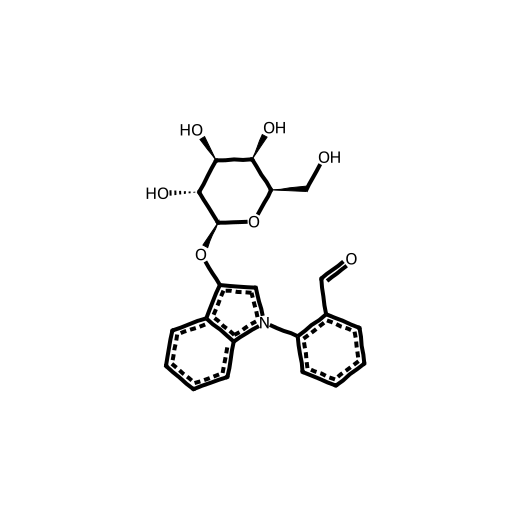 O=Cc1ccccc1-n1cc(O[C@@H]2O[C@H](CO)[C@H](O)[C@H](O)[C@H]2O)c2ccccc21